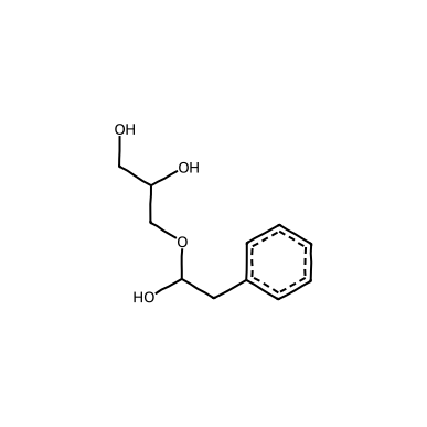 OCC(O)COC(O)Cc1ccccc1